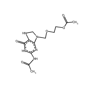 CC(=O)Nc1nc2c(c(=O)[nH]1)NCN2COCCOC(C)=O